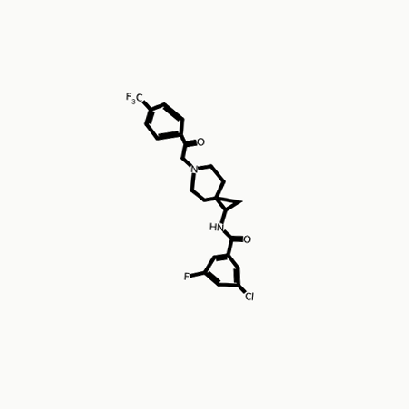 O=C(CN1CCC2(CC1)CC2NC(=O)c1cc(F)cc(Cl)c1)c1ccc(C(F)(F)F)cc1